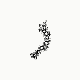 CCOC(=O)[C@H]1[C@@H]2Cc3cc(OCc4cc(-c5ccc(N6CC7(C6)CN(S(C)(=O)=O)C7)cc5F)c(C)cc4F)ncc3[C@@H]21